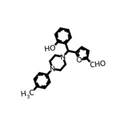 Cc1ccc(N2CCN(C(c3ccc(C=O)o3)c3ccccc3O)CC2)cc1